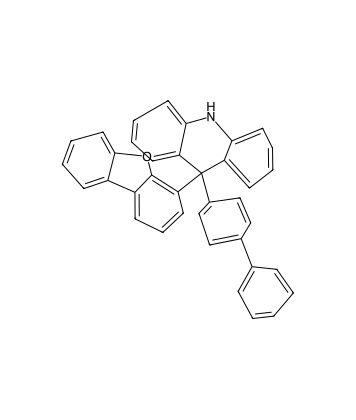 c1ccc(-c2ccc(C3(c4cccc5c4oc4ccccc45)c4ccccc4Nc4ccccc43)cc2)cc1